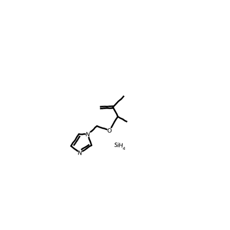 C=C(C)C(C)OCn1ccnc1.[SiH4]